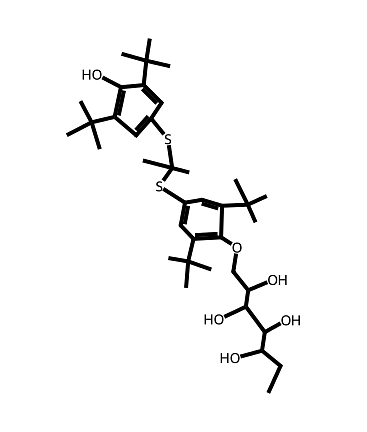 CCC(O)C(O)C(O)C(O)COc1c(C(C)(C)C)cc(SC(C)(C)Sc2cc(C(C)(C)C)c(O)c(C(C)(C)C)c2)cc1C(C)(C)C